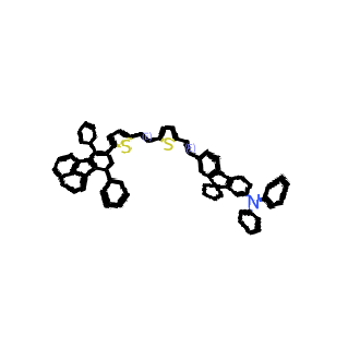 C1=CCC(C2=C(c3ccc(/C=C/c4ccc(/C=C/c5ccc6c(c5)C5(CCCC5)C5=C6CCC(N(c6ccccc6)c6ccccc6)=C5)s4)s3)CC(C3C=CC=CC3)C3=C2c2cccc4cccc3c24)C=C1